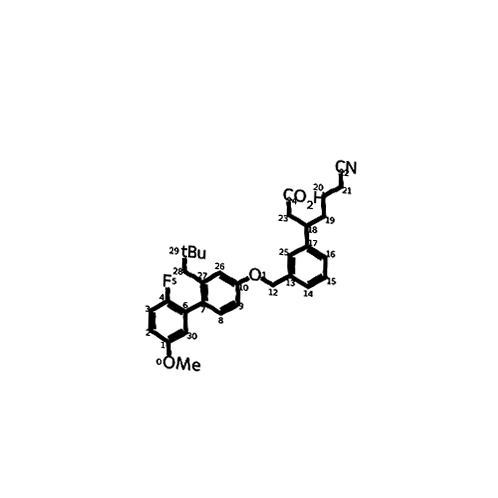 COc1ccc(F)c(-c2ccc(OCc3cccc(C(CCCC#N)CC(=O)O)c3)cc2CC(C)(C)C)c1